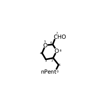 CCCCCCC1CCOC(C=O)O1